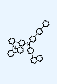 c1ccc(-c2ccc(-c3ccc(N(c4ccc(-c5ccccc5-n5c6ccccc6c6ccccc65)cc4)c4ccc(-c5cccc6ccccc56)cc4)cc3)cc2)cc1